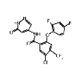 O=C(Nc1cn[nH]c(=O)c1)c1cc(Cl)c(C(F)(F)F)cc1Oc1ccc(F)cc1F